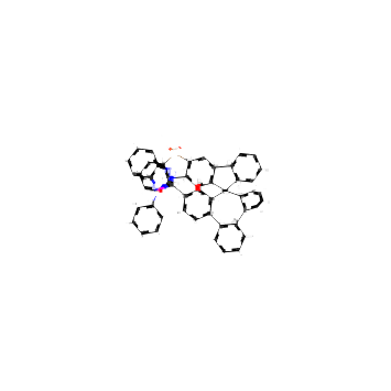 O=S1(=O)c2ccccc2-c2cc3c(cc21)-c1ccccc1C31c2ccccc2-c2ccccc2-c2ccc(-c3nc4ccccc4n3-c3ccccc3)cc21